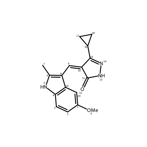 COc1ccc2[nH]c(C)c(C=C3C(=O)NN=C3C3CC3)c2c1